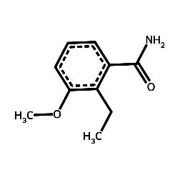 CCc1c(OC)cccc1C(N)=O